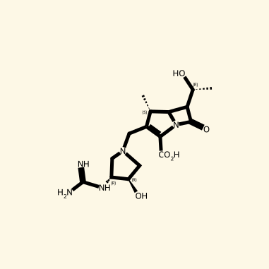 C[C@@H](O)C1C(=O)N2C(C(=O)O)=C(CN3C[C@@H](O)[C@H](NC(=N)N)C3)[C@H](C)C12